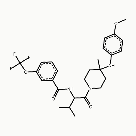 COc1ccc(NC2(C)CCN(C(=O)C(NC(=O)c3cccc(OC(F)(F)F)c3)C(C)C)CC2)cc1